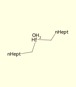 CCCCCCC[CH2][Hf][CH2]CCCCCCC.O